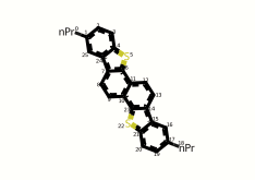 CCCc1ccc2sc3c(ccc4c3ccc3c5cc(CCC)ccc5sc34)c2c1